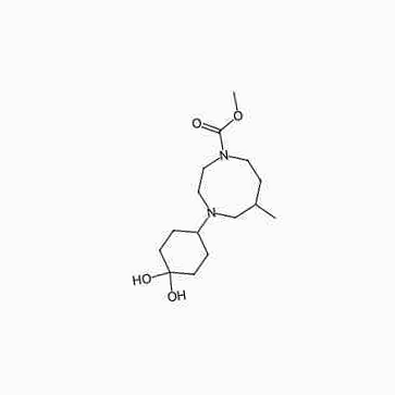 COC(=O)N1CCC(C)CN(C2CCC(O)(O)CC2)CC1